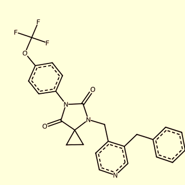 O=C1N(c2ccc(OC(F)(F)F)cc2)C(=O)C2(CC2)N1Cc1ccncc1Cc1ccccc1